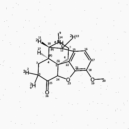 [2H]C1([2H])C[C@@H]2[C@@]34CCN(C)[C@]2([2H])C([2H])([2H])c2ccc(OC)c(c23)OC4C1=O